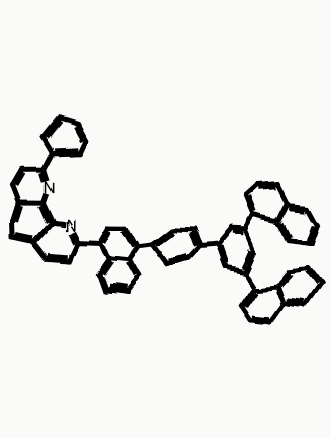 c1ccc(-c2ccc3ccc4ccc(-c5ccc(-c6ccc(-c7cc(-c8cccc9ccccc89)cc(-c8cccc9ccccc89)c7)cc6)c6ccccc56)nc4c3n2)cc1